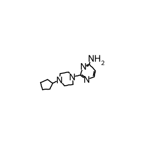 Nc1ccnc(N2CCN(C3CCCC3)CC2)n1